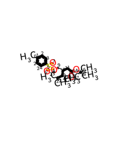 Cc1ccc(S(=O)(=O)OC[C@H](CC(=O)OC(C)(C)C)[C@@H](C)C(C)C)cc1